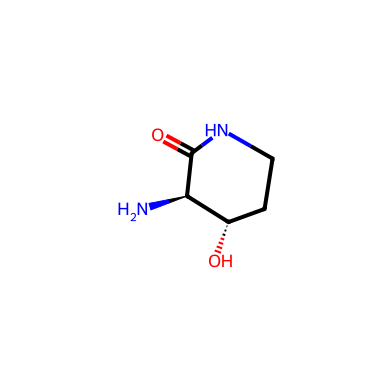 N[C@H]1C(=O)NCC[C@@H]1O